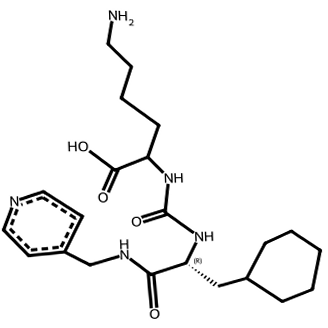 NCCCCC(NC(=O)N[C@H](CC1CCCCC1)C(=O)NCc1ccncc1)C(=O)O